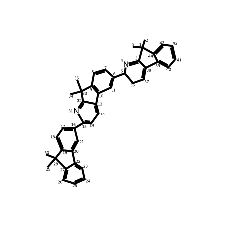 CC1(C)C2=NC(c3ccc4c(c3)-c3ccc(-c5ccc6c(c5)-c5ccccc5C6(C)C)nc3C4(C)C)CC=C2c2ccccc21